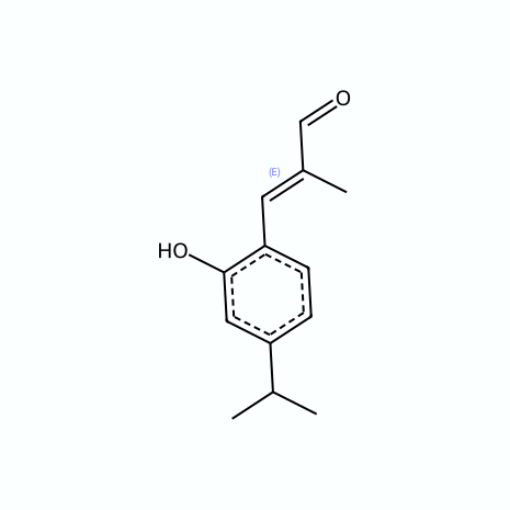 C/C(C=O)=C\c1ccc(C(C)C)cc1O